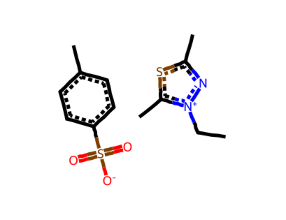 CC[n+]1nc(C)sc1C.Cc1ccc(S(=O)(=O)[O-])cc1